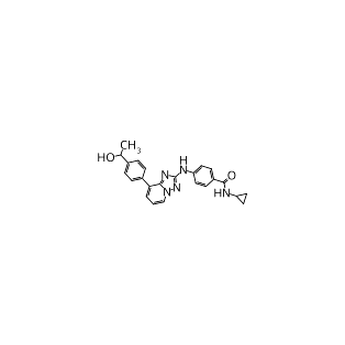 CC(O)c1ccc(-c2cccn3nc(Nc4ccc(C(=O)NC5CC5)cc4)nc23)cc1